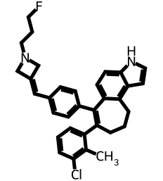 Cc1c(Cl)cccc1C1=C(c2ccc(C=C3CN(CCCF)C3)cc2)c2ccc3[nH]ccc3c2CCC1